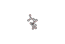 c1ccc(-c2cc(-c3ccccc3)cc(-c3ccc4c5ccccc5c5ccc(-n6c7ccccc7c7cc8c(cc76)C(c6ccccc6)(c6ccccc6)c6ccccc6-8)cc5c4c3)c2)cc1